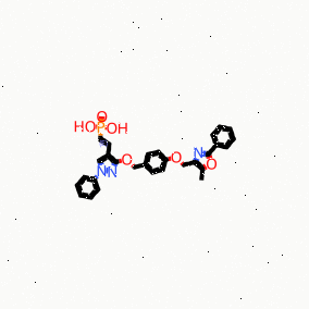 Cc1oc(-c2ccccc2)nc1COc1ccc(COc2nn(-c3ccccc3)cc2/C=C/P(=O)(O)O)cc1